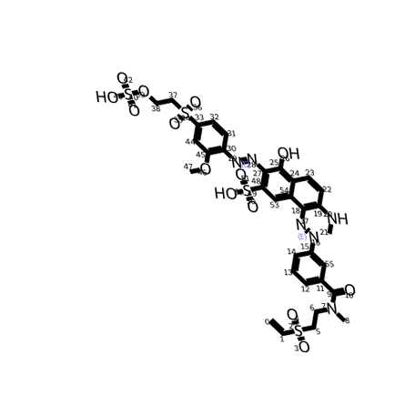 C=CS(=O)(=O)CCN(C)C(=O)c1cccc(/N=N/c2c(NC)ccc3c(O)c(/N=N/c4ccc(S(=O)(=O)CCOS(=O)(=O)O)cc4OC)c(S(=O)(=O)O)cc23)c1